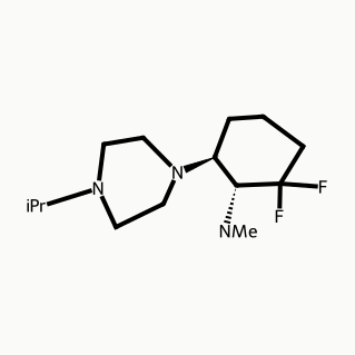 CN[C@@H]1[C@@H](N2CCN(C(C)C)CC2)CCCC1(F)F